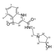 Cc1cccc2[nH]c(C(=O)NCCN3CC[C@@H](O)C3)cc(=O)c12